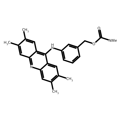 CNC(=O)OCc1cccc(Nc2c3cc(C)c(C)cc3nc3cc(C)c(C)cc23)c1